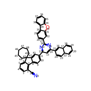 N#Cc1cccc2c1-c1ccc(-c3cc(C4=CC5C=CC=CC5C=C4)nc(-c4ccc5c(c4)oc4ccccc45)n3)cc1C21CCCCCC1